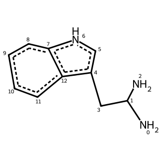 NC(N)Cc1c[nH]c2ccccc12